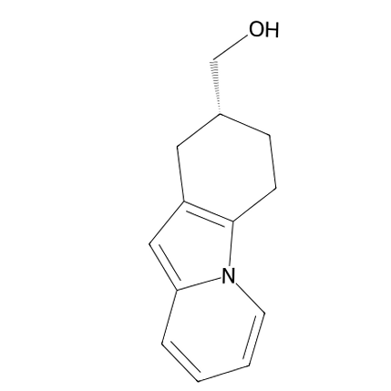 OC[C@@H]1CCc2c(cc3ccccn23)C1